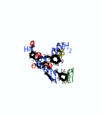 C#CCN(C(=O)NCc1ccc(Cl)c(Cl)c1)N1CC(=O)N2[C@@H](Cc3ccc(NC=O)cc3)C(=O)N(Cc3cccc4sc(N)nc34)C[C@@H]21